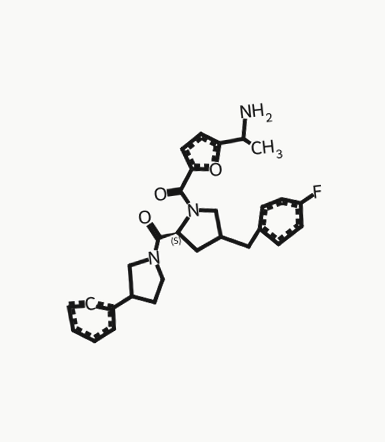 CC(N)c1ccc(C(=O)N2CC(Cc3ccc(F)cc3)C[C@H]2C(=O)N2CCC(c3ccccc3)C2)o1